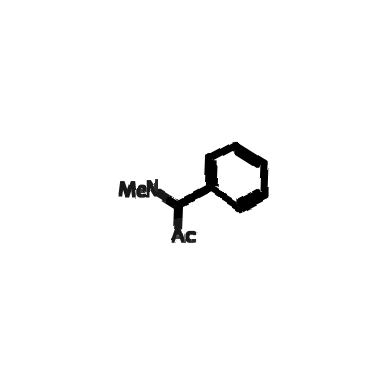 CNC(C(C)=O)c1ccccc1